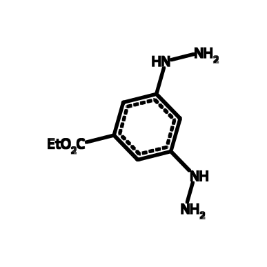 CCOC(=O)c1cc(NN)cc(NN)c1